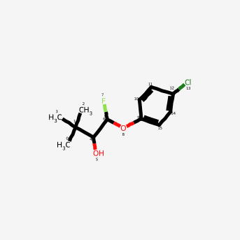 CC(C)(C)C(O)C(F)Oc1ccc(Cl)cc1